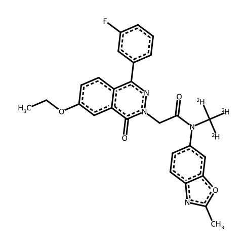 [2H]C([2H])([2H])N(C(=O)Cn1nc(-c2cccc(F)c2)c2ccc(OCC)cc2c1=O)c1ccc2nc(C)oc2c1